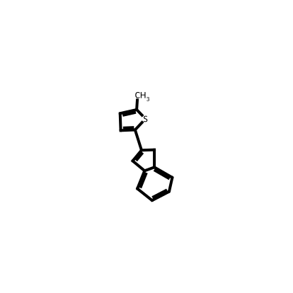 Cc1ccc(C2=Cc3ccccc3C2)s1